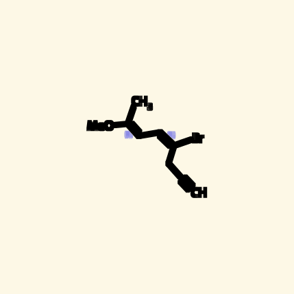 C#CC/C(Br)=C\C=C(/C)OC